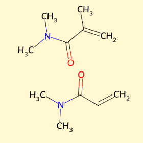 C=C(C)C(=O)N(C)C.C=CC(=O)N(C)C